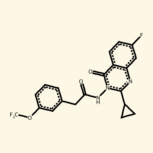 O=C(Cc1cccc(OC(F)(F)F)c1)Nn1c(C2CC2)nc2cc(F)ccc2c1=O